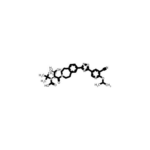 CC(C)Oc1ncc(-c2nc(-c3ccc4c(c3)CCN(C(=O)[C@H]([C@@H](C)O)N(C(=O)O)C(C)(C)C)CC4)no2)cc1C#N